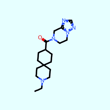 CCN1CCC2(CCC(C(=O)N3CCn4ncnc4C3)CC2)CC1